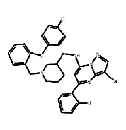 Clc1ccc(Sc2ccccc2CN2CCCC(CNc3cc(-c4ccccc4Cl)nc4c(Br)cnn34)C2)cc1